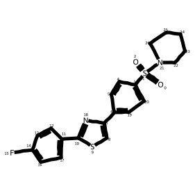 O=S(=O)(c1ccc(-c2csc(-c3ccc(F)cc3)n2)cc1)N1CCCCC1